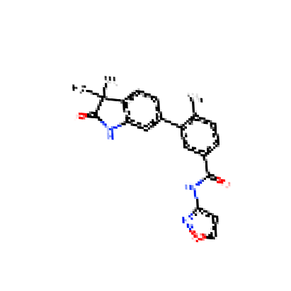 Cc1ccc(C(=O)Nc2ccon2)cc1-c1ccc2c(c1)NC(=O)C2(C)C